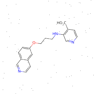 O=C(O)c1ccncc1NCCCOc1ccc2cnccc2c1